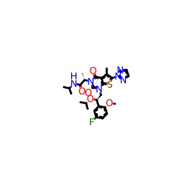 COc1ccc(F)cc1[C@H](Cn1c(=O)n([C@@H](C)C(=O)NC(C)C)c(=O)c2c(C)c(-n3nccn3)sc21)OC(C)C